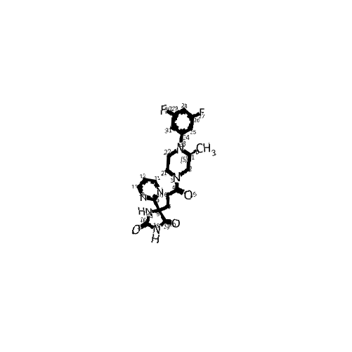 C[C@H]1CN(C(=O)CCC2(c3ncccn3)NC(=O)NC2=O)CCN1c1cc(F)cc(F)c1